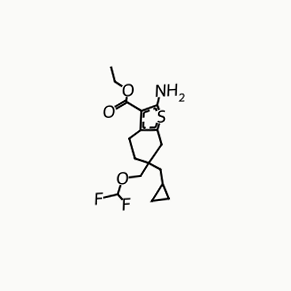 CCOC(=O)c1c(N)sc2c1CCC(COC(F)F)(CC1CC1)C2